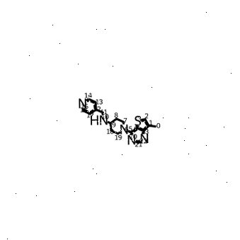 Cc1csc2c(N3CCC(NCc4ccncc4)CC3)ncnc12